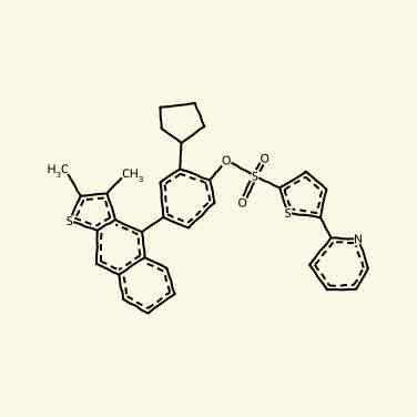 Cc1sc2cc3ccccc3c(-c3ccc(OS(=O)(=O)c4ccc(-c5ccccn5)s4)c(C4CCCC4)c3)c2c1C